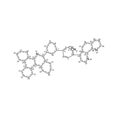 C=C(/C=C\C(=C/C)c1cccc(-c2nc3c4ccccc4c4ccccc4c3c3ccccc23)c1)c1ccnc2c1ccc1cccnc12